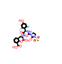 CS(=O)(=O)N1CCN(C(=O)N[C@@H](C(=O)N[C@H]2Cc3cccc(C(=O)O)c3OB2O)c2c(F)cc(O)cc2F)C1=O